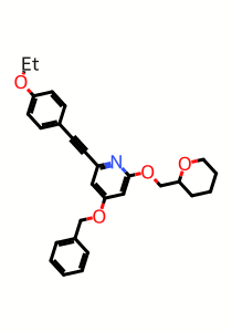 CCOc1ccc(C#Cc2cc(OCc3ccccc3)cc(OCC3CCCCO3)n2)cc1